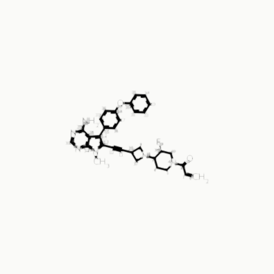 C=CC(=O)N1CCC(N2CC(C#Cc3c(-c4ccc(Oc5ccccc5)cc4)c4c(N)ncnc4n3C)C2)[C@@H](F)C1